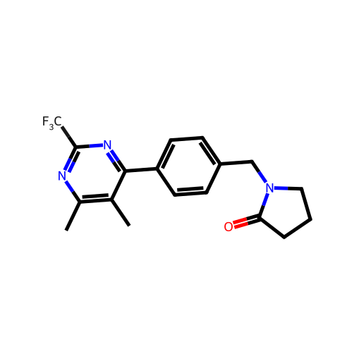 Cc1nc(C(F)(F)F)nc(-c2ccc(CN3CCCC3=O)cc2)c1C